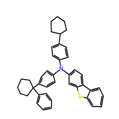 c1ccc(C2(c3ccc(N(c4ccc(C5CCCCC5)cc4)c4ccc5c(c4)sc4ccccc45)cc3)CCCCC2)cc1